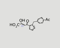 CC(=O)c1ccc(Cc2sccc2C(=O)/C=C(\O)C(=O)O)cc1